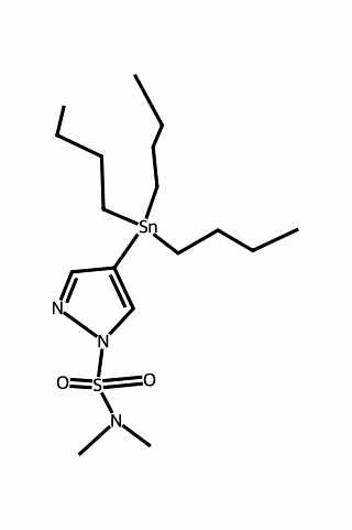 CCC[CH2][Sn]([CH2]CCC)([CH2]CCC)[c]1cnn(S(=O)(=O)N(C)C)c1